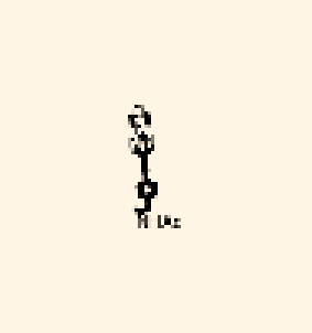 CC(=O)NC(C)Cc1ccc(C#Cc2cnc(N3CCOCC3)nc2)cc1